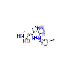 C#Cc1cccc(Nc2ncnn3ccc(C(N)[C@@H]4CCNC[C@@H]4O)c23)c1